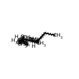 CCCCCCCC/C=C\CCCCCCCC(=O)N(C)CCNC(=O)C[C@H](O)C[C@H](O)/C=C/c1c(-c2ccc(F)cc2)nc(N(C)S(C)(=O)=O)nc1C(C)C